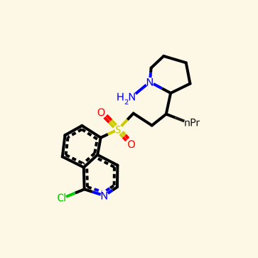 CCCC(CCS(=O)(=O)c1cccc2c(Cl)nccc12)C1CCCCN1N